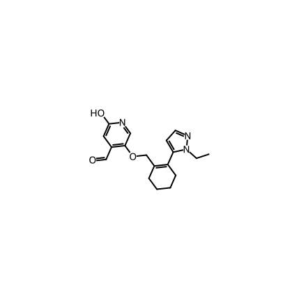 CCn1nccc1C1=C(COc2cnc(O)cc2C=O)CCCC1